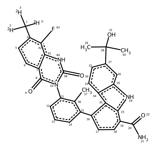 [2H]C([2H])([2H])c1ccc2c(=O)n(-c3cccc(-c4ccc(C(N)=O)c5[nH]c6cc(C(C)(C)O)ccc6c45)c3C)c(=O)[nH]c2c1F